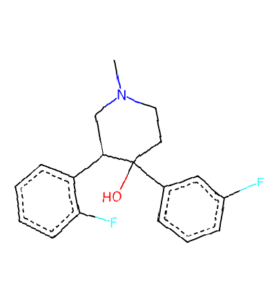 CN1CCC(O)(c2cccc(F)c2)C(c2ccccc2F)C1